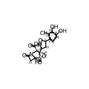 C[C@]1(C2=NOC(c3ccc(O)c(O)c3Cl)C2)[C@H](C(=O)O)N2C(=O)C[C@H]2S1(=O)=O